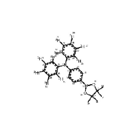 [2H]c1c([2H])c([2H])c(N(c2ccc(B3OC(C)(C)C(C)(C)O3)cc2)c2c([2H])c([2H])c([2H])c([2H])c2[2H])c([2H])c1[2H]